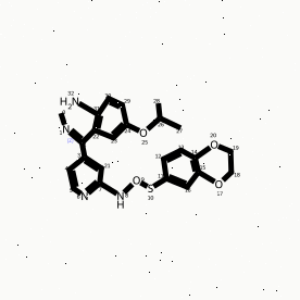 C/N=C(/c1ccnc(NOSc2ccc3c(c2)OCCO3)c1)c1cc(OC(C)C)ccc1N